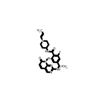 CC=CN1CCC(NC(=O)c2ccc([C@H](C)Nc3ncc4ccc(=O)n(C(C)C)c4n3)cc2F)CC1